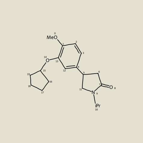 COc1ccc(C2CC(=O)N(C(C)C)C2)cc1OC1CCCC1